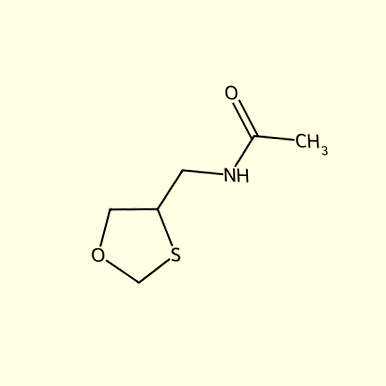 CC(=O)NCC1COCS1